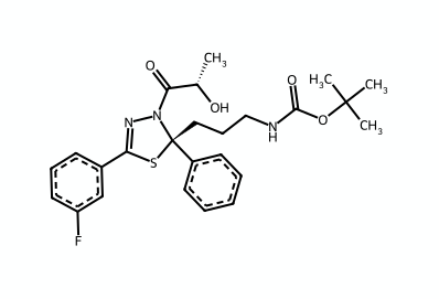 C[C@H](O)C(=O)N1N=C(c2cccc(F)c2)S[C@@]1(CCCNC(=O)OC(C)(C)C)c1ccccc1